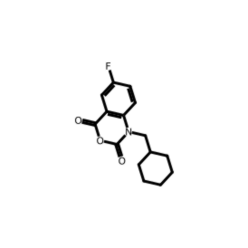 O=c1oc(=O)n(CC2CCCCC2)c2ccc(F)cc12